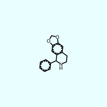 c1ccc(C2NCCc3cc4c(cc32)OCO4)cc1